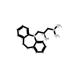 CN(C)C[C@@H](O)CN1c2ccccc2CCc2ccccc21